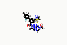 CC(=O)N1CCN(CC(C)NC(=O)c2cc(-c3nccs3)cc(-c3ccc(C)cc3F)c2)CC1